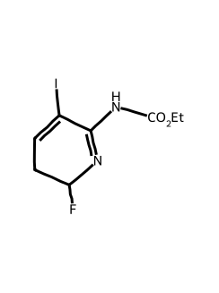 CCOC(=O)NC1=NC(F)CC=C1I